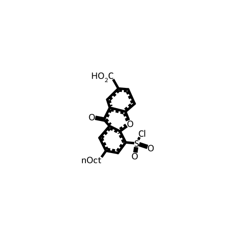 CCCCCCCCc1cc(S(=O)(=O)Cl)c2oc3ccc(C(=O)O)cc3c(=O)c2c1